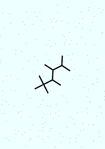 C[C](C(C)C(C)C)C(C)(C)C